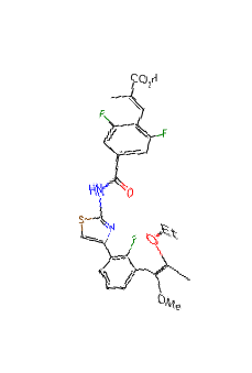 CCOC(C)C(OC)c1cccc(-c2csc(NC(=O)c3cc(F)c(C=C(C)C(=O)O)c(F)c3)n2)c1F